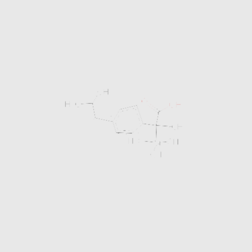 CC(C)Cc1ccc(C(C)(C(=O)O)[Si](C)(C)C)cc1